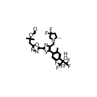 Cc1cc(C(O)(C(F)(F)F)C(F)(F)F)ccc1-c1sc(-c2nnc(CC(C)(C)OC=O)o2)nc1CN1CC(F)(F)C[C@@H]1C